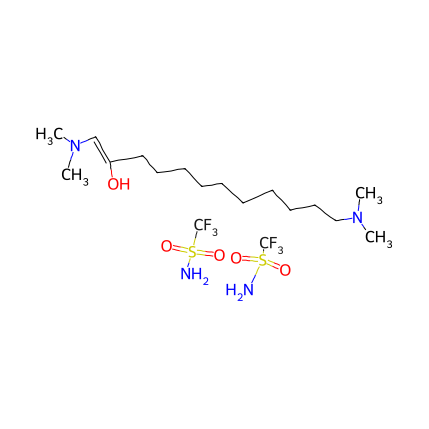 CN(C)C=C(O)CCCCCCCCCCN(C)C.NS(=O)(=O)C(F)(F)F.NS(=O)(=O)C(F)(F)F